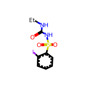 CCNC(=O)NS(=O)(=O)c1ccccc1I